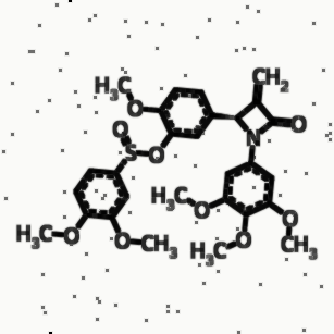 C=C1C(=O)N(c2cc(OC)c(OC)c(OC)c2)[C@H]1c1ccc(OC)c(OS(=O)c2ccc(OC)c(OC)c2)c1